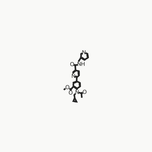 COC(=O)c1cc(-c2ccc(C(=O)NCc3cccnc3)cn2)ccc1N(CC1CC1)C(C)=O